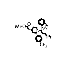 COC(=O)C[C@@H]1CCN(C(CCC(C)C)n2nnc3ccccc32)[C@H](c2ccc(C(F)(F)F)cc2)C1